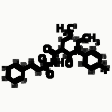 C=CCC(C(=O)NS(=O)(=O)C=Cc1ccccc1)C(=O)N(CC)c1ccc(F)cc1